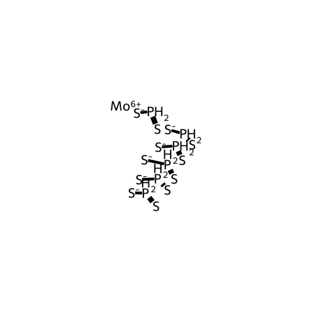 S=[PH2][S-].S=[PH2][S-].S=[PH2][S-].S=[PH2][S-].S=[PH2][S-].S=[PH2][S-].[Mo+6]